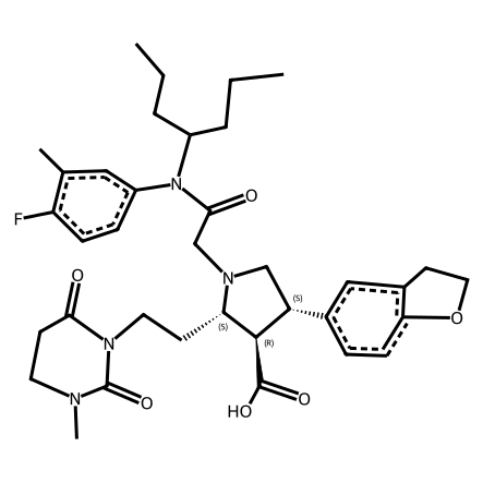 CCCC(CCC)N(C(=O)CN1C[C@H](c2ccc3c(c2)CCO3)[C@@H](C(=O)O)[C@@H]1CCN1C(=O)CCN(C)C1=O)c1ccc(F)c(C)c1